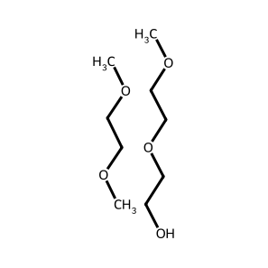 COCCOC.COCCOCCO